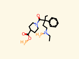 CCN(P)CCC(CC)(C(=O)N1CCC(C(=O)OP)CC1)c1ccccc1